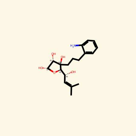 CC(C)=C[C@@H](O)[C@H]1O[C@H](O)[C@H](O)[C@]1(O)CCCc1ccccc1N